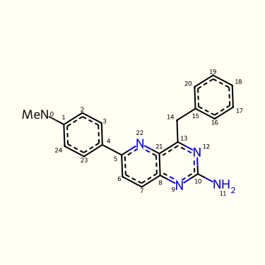 CNc1ccc(-c2ccc3nc(N)nc(Cc4ccccc4)c3n2)cc1